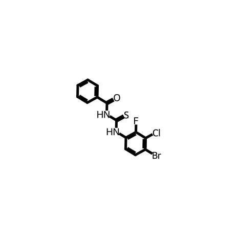 O=C(NC(=S)Nc1ccc(Br)c(Cl)c1F)c1ccccc1